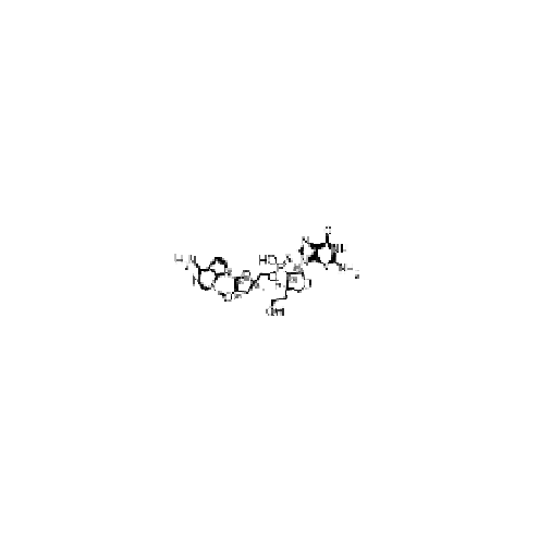 CO[C@@H]1C[C@](C)(COP(O)(=S)[C@H]2[C@H](n3cnc4c(=O)[nH]c(N)nc43)OC[C@@]2(F)CCO)O[C@H]1n1ccc2c(N)ncnc21